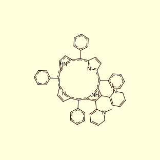 CN1CC=CC=C1c1c(C2=CC=CCN2C)c2[nH]c1c(-c1ccccc1)c1nc(c(-c3ccccc3)c3ccc([nH]3)c(-c3ccccc3)c3nc(c2-c2ccccc2)C=C3)C=C1